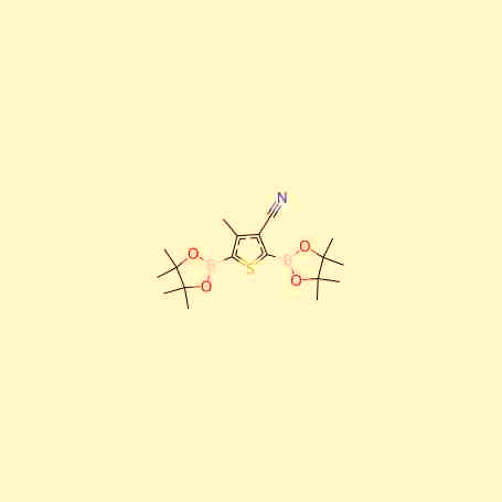 Cc1c(B2OC(C)(C)C(C)(C)O2)sc(B2OC(C)(C)C(C)(C)O2)c1C#N